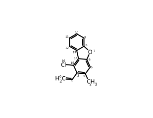 C=Cc1c(C)cc2oc3ccccc3c2c1Cl